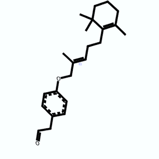 CC1=C(CC/C=C(\C)COc2ccc(CC=O)cc2)C(C)(C)CCC1